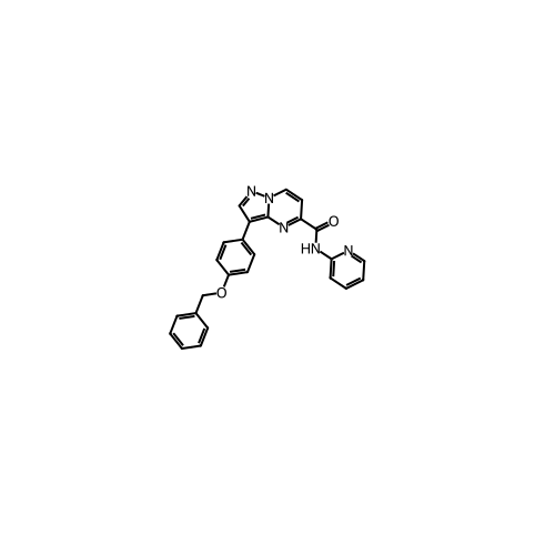 O=C(Nc1ccccn1)c1ccn2ncc(-c3ccc(OCc4ccccc4)cc3)c2n1